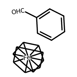 O=Cc1ccccc1.[CH]12[CH]3[CH]4[CH]5[CH]1[Fe]23451678[CH]2[CH]1[CH]6[CH]7[CH]28